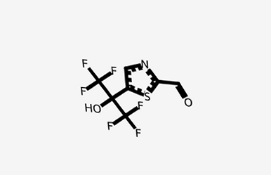 O=Cc1ncc(C(O)(C(F)(F)F)C(F)(F)F)s1